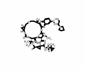 CC[C@@H]1[C@@H]2CN(C(=O)[C@H](C(C)(C)C)NC(=O)O[C@@H]3C[C@H]3CCCCC(F)(F)c3nc4ccc(OC)cc4nc3O2)[C@@H]1C(=O)N[C@]1(C(=O)NS(=O)(=O)C2(C)CC2)C[C@H]1C(F)F.OCCN1CCCC1